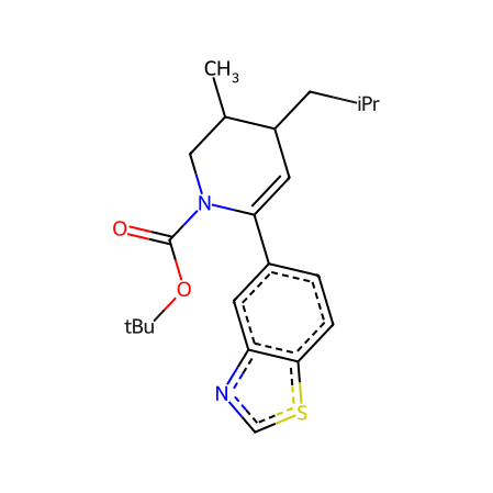 CC(C)CC1C=C(c2ccc3scnc3c2)N(C(=O)OC(C)(C)C)CC1C